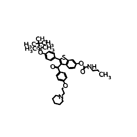 CCCNC(=O)Oc1ccc2c(C(=O)c3ccc(OCCN4CCCCC4)cc3)c(-c3ccc(O[Si](C)(C)C(C)(C)C)cc3)sc2c1